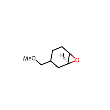 COCC1CCC2O[C@H]2C1